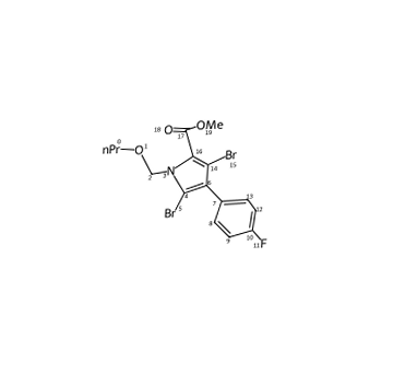 CCCOCn1c(Br)c(-c2ccc(F)cc2)c(Br)c1C(=O)OC